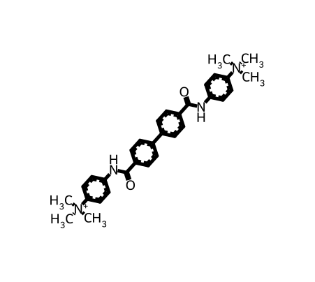 C[N+](C)(C)c1ccc(NC(=O)c2ccc(-c3ccc(C(=O)Nc4ccc([N+](C)(C)C)cc4)cc3)cc2)cc1